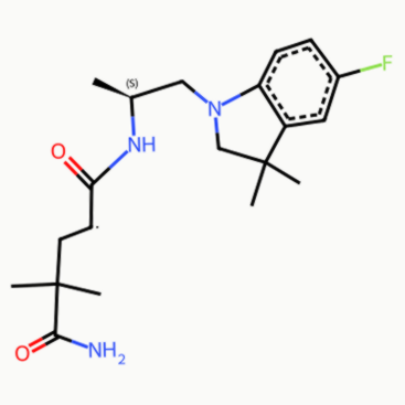 C[C@@H](CN1CC(C)(C)c2cc(F)ccc21)NC(=O)[CH]CC(C)(C)C(N)=O